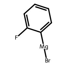 Fc1cccc[c]1[Mg][Br]